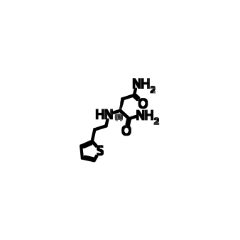 NC(=O)C[C@H](NCCc1cccs1)C(N)=O